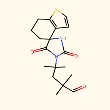 CC(C)(C=O)CC(C)(C)N1C(=O)NC2(CCCc3sccc32)C1=O